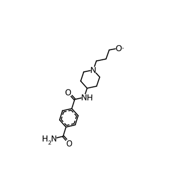 NC(=O)c1ccc(C(=O)NC2CCN(CCC[O])CC2)cc1